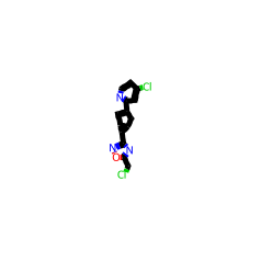 ClCc1nc(C2C3C=C(c4cc(Cl)ccn4)CC32)no1